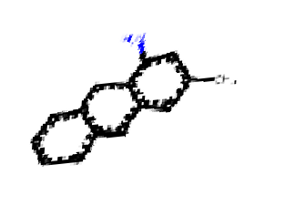 Cc1cc(N)c2cc3ccccc3cc2c1